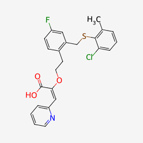 Cc1cccc(Cl)c1SCc1cc(F)ccc1CCOC(=Cc1ccccn1)C(=O)O